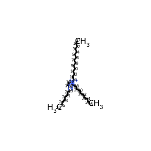 CCCCCCCCCCCCCCC[n+]1ccn(CCCCCCCC)c1CCCCCCCCC